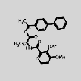 COc1ccnc(C(=O)N[C@@H](C)C(=O)O[C@@H](C)c2ccc(-c3ccccc3)cc2)c1OC(C)=O